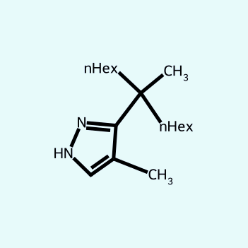 CCCCCCC(C)(CCCCCC)c1n[nH]cc1C